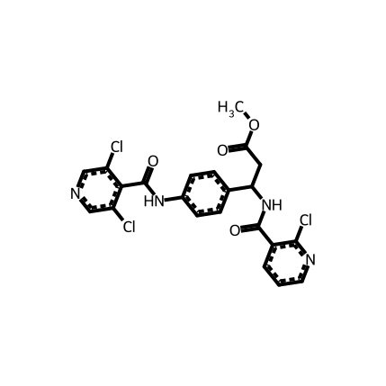 COC(=O)CC(NC(=O)c1cccnc1Cl)c1ccc(NC(=O)c2c(Cl)cncc2Cl)cc1